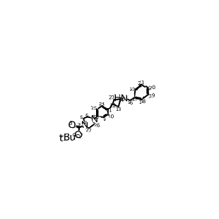 CC(C)(C)OC(=O)N1CCN(c2ccc(C3CC(NCc4ccccc4)C3)cc2)CC1